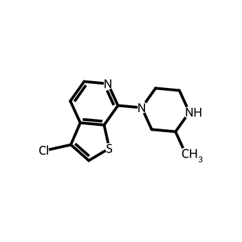 CC1CN(c2nccc3c(Cl)csc23)CCN1